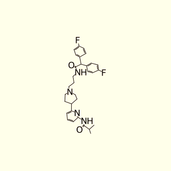 CC(C)C(=O)Nc1cccc(C2CCN(CCCNC(=O)C(c3ccc(F)cc3)c3ccc(F)cc3)CC2)n1